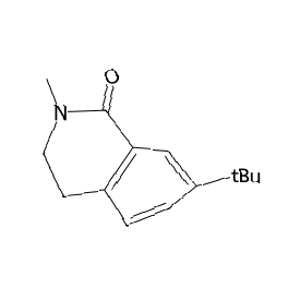 CN1CCc2ccc(C(C)(C)C)cc2C1=O